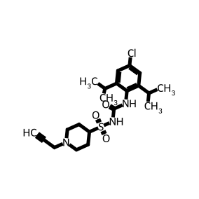 C#CCN1CCC(S(=O)(=O)NC(=O)Nc2c(C(C)C)cc(Cl)cc2C(C)C)CC1